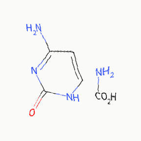 NC(=O)O.Nc1cc[nH]c(=O)n1